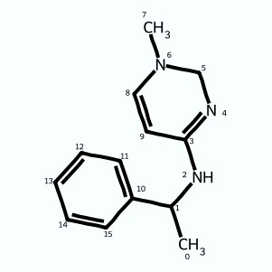 CC(NC1=NCN(C)C=C1)c1ccccc1